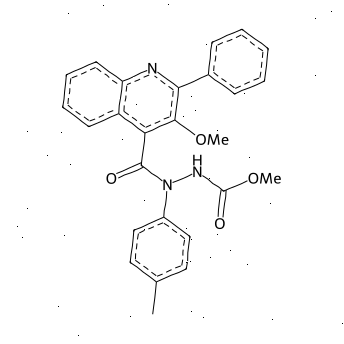 COC(=O)NN(C(=O)c1c(OC)c(-c2ccccc2)nc2ccccc12)c1ccc(C)cc1